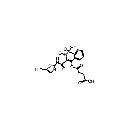 Cc1cnc(NC(=O)C2=C(OC(=O)CCC(=O)O)c3ccccc3S(O)(O)N2C)s1